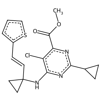 COC(=O)c1nc(C2CC2)nc(NC2(C=Cc3cccs3)CC2)c1Cl